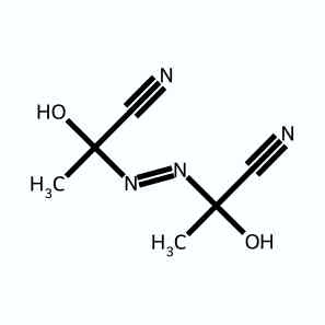 CC(O)(C#N)N=NC(C)(O)C#N